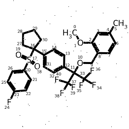 COc1cc(C)ccc1COC(c1ccc(C2(S(=O)(=O)c3ccc(F)cc3)CCCC2)cc1)(C(F)(F)F)C(F)(F)F